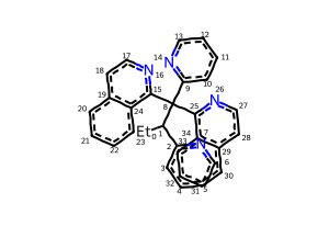 CCC(c1ccccn1)C(c1ccccn1)(c1nccc2ccccc12)c1nccc2ccccc12